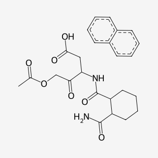 CC(=O)OCC(=O)C(CC(=O)O)NC(=O)C1CCCCC1C(N)=O.c1ccc2ccccc2c1